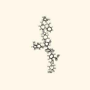 CC(C)c1ccccc1[C@@H]1CN(Cc2cnn(C)c2)CCN1C1CC2(CCN(c3cc(Oc4cnc5[nH]ccc5c4)c(C(=O)NS(=O)(=O)c4ccc(NCC5CCC(C)(O)CC5)c([N+](=O)[O-])c4)cc3F)CC2)C1